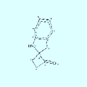 O=C1CCC12Cc1ccccc1N2